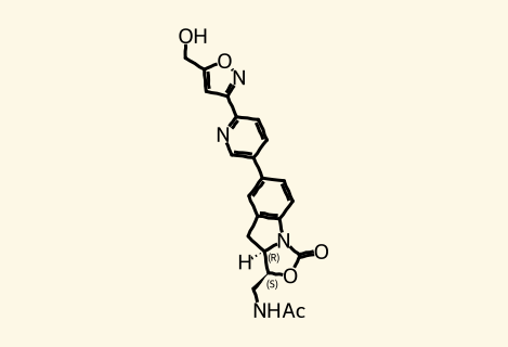 CC(=O)NC[C@@H]1OC(=O)N2c3ccc(-c4ccc(-c5cc(CO)on5)nc4)cc3C[C@H]12